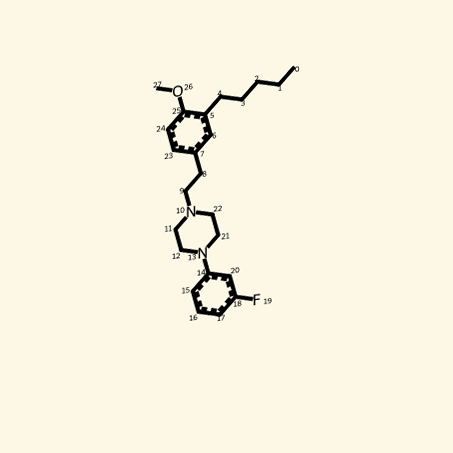 CCCCCc1cc(CCN2CCN(c3cccc(F)c3)CC2)ccc1OC